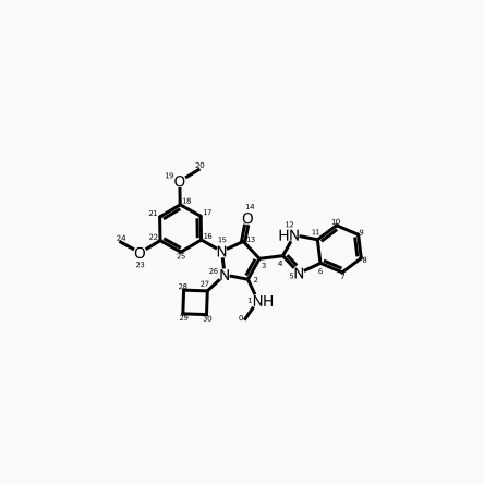 CNc1c(-c2nc3ccccc3[nH]2)c(=O)n(-c2cc(OC)cc(OC)c2)n1C1CCC1